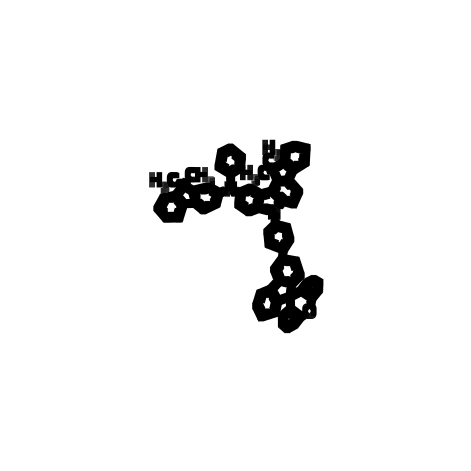 CC1(C)c2ccccc2-c2ccc(N(c3ccccc3)c3ccc4c(c3)c3c5c(ccc3n4-c3ccc(-c4ccc6c(c4)-c4ccccc4C64c6ccccc6Oc6ccccc64)cc3)-c3ccccc3C5(C)C)cc21